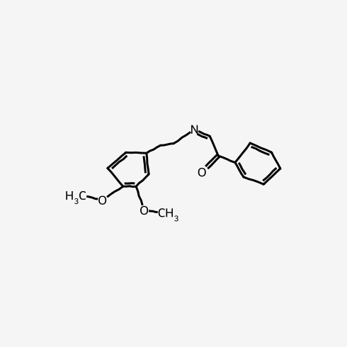 COc1ccc(CC/N=C\C(=O)c2ccccc2)cc1OC